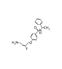 C[C@@H](NC(=O)c1ccc(OC/C(F)=C\CN)cc1)c1ccccc1